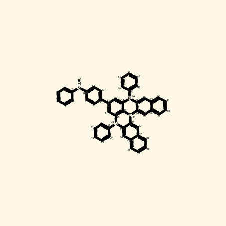 C[SiH](c1ccccc1)c1ccc(-c2cc3c4c(c2)N(c2ccccc2)c2cc5ccccc5cc2B4c2cc4ccccc4cc2N3c2ccccc2)cc1